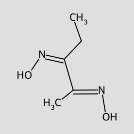 CCC(=NO)C(C)=NO